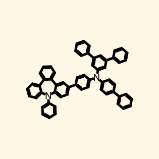 c1ccc(-c2ccc(N(c3ccc(-c4ccc5c(c4)-c4ccccc4-c4ccccc4N5c4ccccc4)cc3)c3cc(-c4ccccc4)cc(-c4ccccc4)c3)cc2)cc1